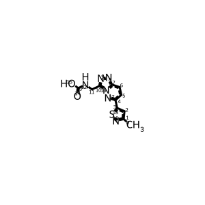 Cc1cc(-c2ccc3nnc(CNC(=O)O)n3n2)sn1